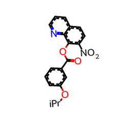 CC(C)Oc1cccc(C(=O)Oc2c([N+](=O)[O-])ccc3cccnc23)c1